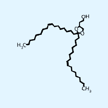 CCCCCCCC/C=C\CCCCCCCC1(CCCCCCC/C=C\CCCCCCCC)OCC(CCO)O1